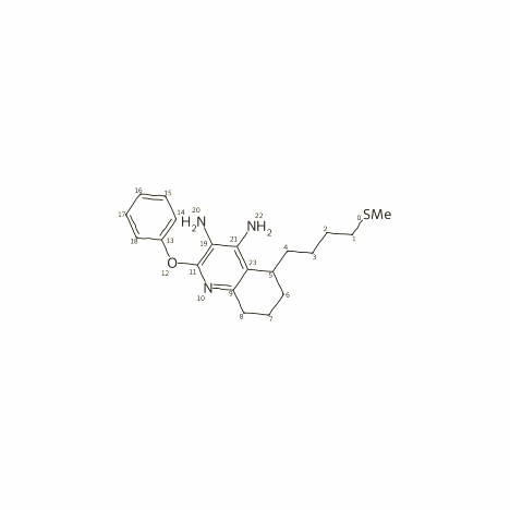 CSCCCCC1CCCc2nc(Oc3ccccc3)c(N)c(N)c21